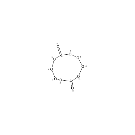 O=C1OOOOC(=O)OOOO1